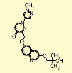 Cn1cc(-n2ccc(=O)c(COc3ccc4ncc(OCC(C)(C)O)cc4c3)n2)cn1